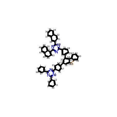 c1ccc(-c2nc(-c3ccccc3)nc(-c3ccc(-c4cc(-c5cccc(-c6nc(-c7ccc8ccccc8c7)nc(-c7cccc8ccccc78)n6)c5)c5c(c4)sc4ccccc45)cc3)n2)cc1